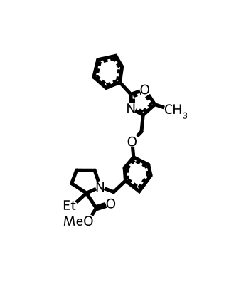 CCC1(C(=O)OC)CCCN1Cc1cccc(OCc2nc(-c3ccccc3)oc2C)c1